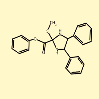 CSC1(C(=O)Oc2ccccc2)NC(c2ccccc2)C(c2ccccc2)N1